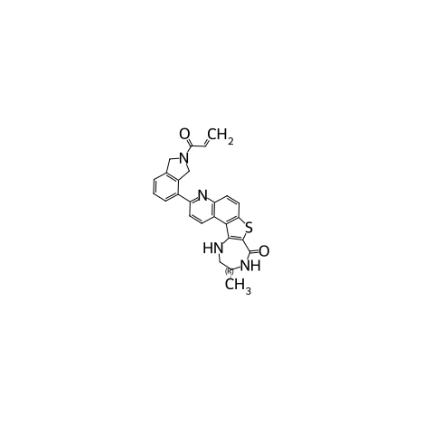 C=CC(=O)N1Cc2cccc(-c3ccc4c(ccc5sc6c(c54)NC[C@@H](C)NC6=O)n3)c2C1